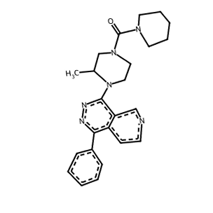 CC1CN(C(=O)N2CCCCC2)CCN1c1nnc(-c2ccccc2)c2ccncc12